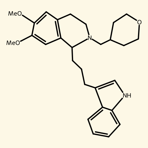 COc1cc2c(cc1OC)C(CCCc1c[nH]c3ccccc13)N(CC1CCOCC1)CC2